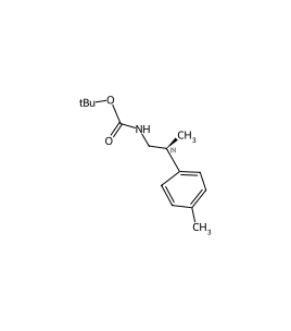 Cc1ccc([C@H](C)CNC(=O)OC(C)(C)C)cc1